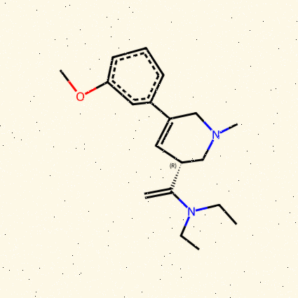 C=C([C@@H]1C=C(c2cccc(OC)c2)CN(C)C1)N(CC)CC